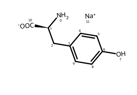 N[C@@H](Cc1ccc(O)cc1)C(=O)[O-].[Na+]